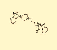 Nc1ccccc1C(=O)NCCCCN1CCN(c2onc3ccccc23)CC1